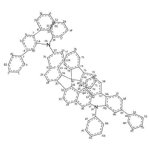 c1ccc(-c2ccc(-c3ccccc3)c(N(c3ccccc3)c3ccc4c5c(ccc4c3)-c3ccc4cc(N(c6ccccc6)c6cc(-c7ccccc7)ccc6-c6ccccc6)ccc4c3C53c4ccccc4-c4ccccc43)c2)cc1